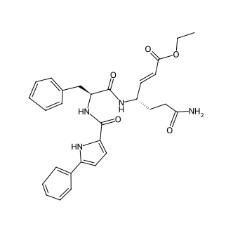 CCOC(=O)/C=C/[C@H](CCC(N)=O)NC(=O)[C@H](Cc1ccccc1)NC(=O)c1ccc(-c2ccccc2)[nH]1